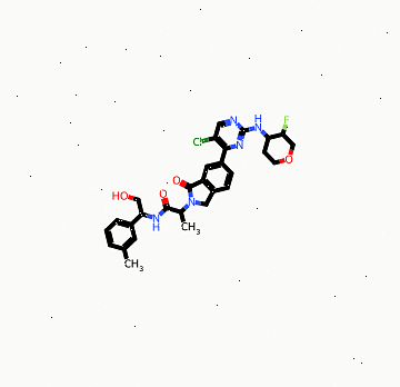 Cc1cccc(C(CO)NC(=O)C(C)N2Cc3ccc(-c4nc(NC5CCOCC5F)ncc4Cl)cc3C2=O)c1